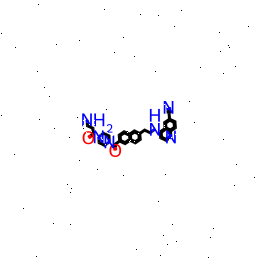 N#Cc1ccc2nccc(NCCc3ccc4cc(C(=O)N5CCN(C(=O)CCN)CC5)ccc4c3)c2c1